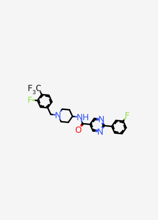 O=C(NC1CCN(Cc2ccc(C(F)(F)F)c(F)c2)CC1)c1cnc(-c2cccc(F)c2)nc1